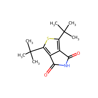 CC(C)(C)c1sc(C(C)(C)C)c2c1C(=O)NC2=O